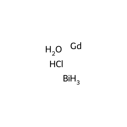 Cl.O.[BiH3].[Gd]